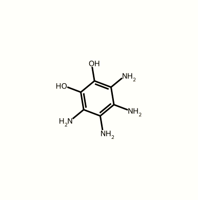 Nc1c(N)c(N)c(O)c(O)c1N